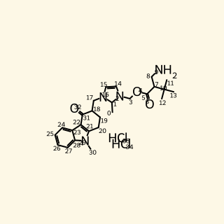 CC1N(COC(=O)C(CN)C(C)(C)C)C=CN1CC1CCc2c(c3ccccc3n2C)C1=O.Cl.Cl